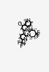 O=c1cc(-c2ccc(C(F)(F)F)nc2N2CCCC(F)(F)CC2)[nH]c2ccncc12